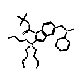 CCC[CH2][Sn]([CH2]CCC)([CH2]CCC)[c]1cc2cc(CN(C)C3CCCCC3)ccc2n1C(=O)OC(C)(C)C